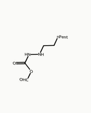 CCCCCCCNNC(=O)OC=O